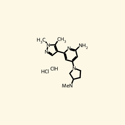 CNC1CCN(c2cc(N)nc(-c3cnn(C)c3C)c2)C1.Cl.Cl